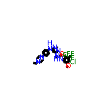 CCN1CCN(c2ccc(Nc3cc(N(C)C(=O)Nc4cc(OC)c(Cl)c(C(F)(F)F)c4Cl)ncn3)cc2)CC1